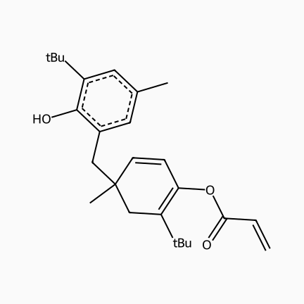 C=CC(=O)OC1=C(C(C)(C)C)CC(C)(Cc2cc(C)cc(C(C)(C)C)c2O)C=C1